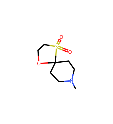 CN1CCC2(CC1)OCCS2(=O)=O